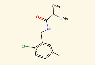 COC(OC)C(=O)NCc1cc(C)ccc1Cl